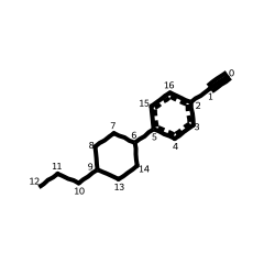 C#Cc1ccc(C2CCC(CCC)CC2)cc1